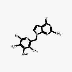 COc1c(C)c(Br)nc(Cn2ccc3c(Br)nc(N)nc32)c1C